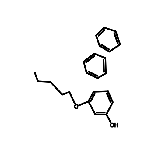 CCCCCOc1cccc(O)c1.c1ccccc1.c1ccccc1